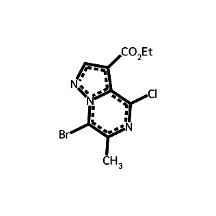 CCOC(=O)c1cnn2c(Br)c(C)nc(Cl)c12